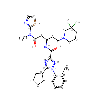 CN(C(=O)CC(CCN1CCCC(F)(F)C1)NC(=O)c1nc(C2CCCC2)n(-c2ccccc2C(F)(F)F)n1)c1nccs1